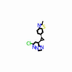 Cc1nc2ccc([C@H]3CC3c3cc(Cl)nn4ccnc34)cc2s1